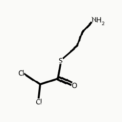 NCCSC(=O)C(Cl)Cl